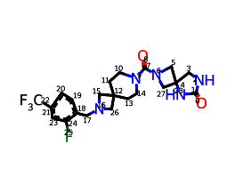 O=C1NCC2(CN(C(=O)N3CCC4(CC3)CN(Cc3ccc(C(F)(F)F)cc3F)C4)C2)N1